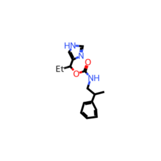 CCC(OC(=O)NCC(C)c1ccccc1)c1c[nH]cn1